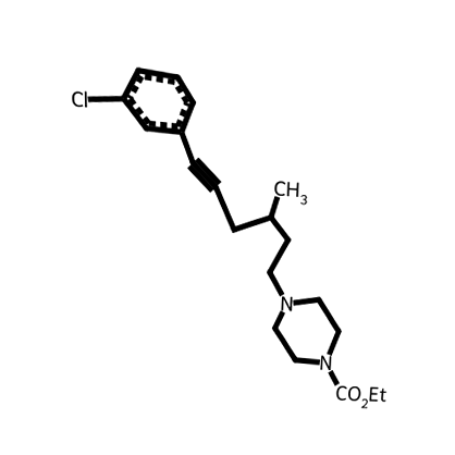 CCOC(=O)N1CCN(CCC(C)CC#Cc2cccc(Cl)c2)CC1